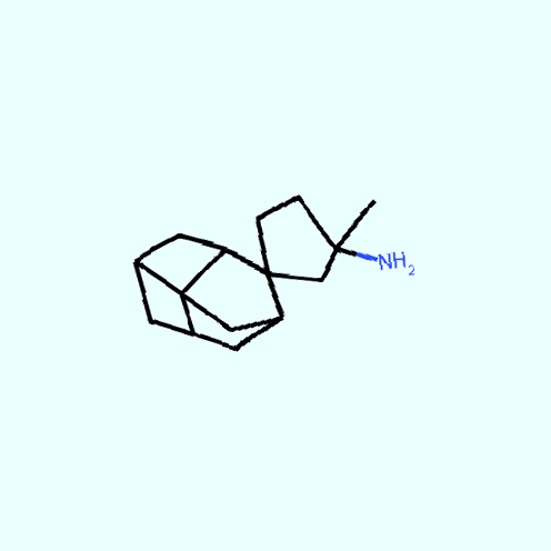 CC1(N)CCC2(C1)C1CC3CC(C1)CC2C3